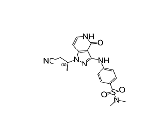 C[C@@H](CC#N)n1nc(Nc2ccc(S(=O)(=O)N(C)C)cc2)c2c(=O)[nH]ccc21